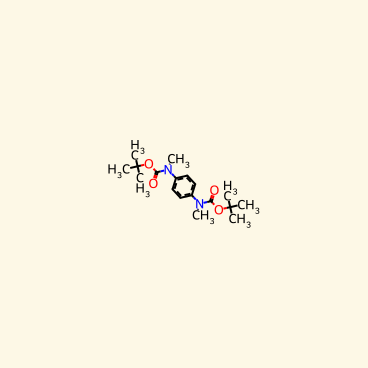 CN(C(=O)OC(C)(C)C)c1ccc(N(C)C(=O)OC(C)(C)C)cc1